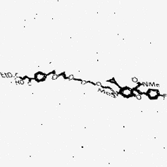 CCOC(=O)/C(O)=C/C(=O)c1ccc(COCCOCCOCCOCCN(SC)c2cc3oc(-c4ccc(F)cc4)c(C(=O)NC)c3cc2C2CC2)cc1